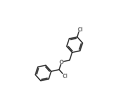 Clc1ccc(COC(Cl)c2ccccc2)cc1